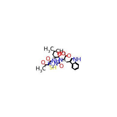 CC(=O)C(S)C(=O)N[C@@H](CC(C)C)C(=O)N(C(N)=O)[C@@H](Cc1c[nH]c2ccccc12)C(=O)O